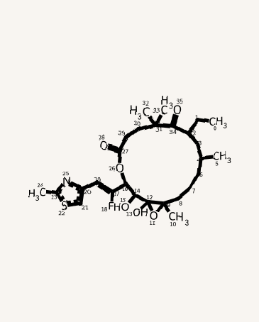 CCC1CC(C)CCCC2(C)OC2(O)C(O)C(C(F)=Cc2csc(C)n2)OC(=O)CCC(C)(C)C1=O